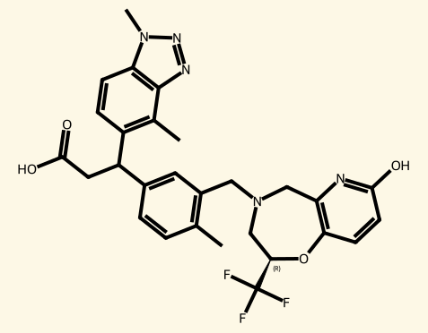 Cc1ccc(C(CC(=O)O)c2ccc3c(nnn3C)c2C)cc1CN1Cc2nc(O)ccc2O[C@@H](C(F)(F)F)C1